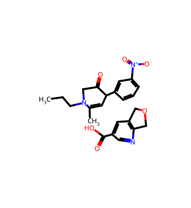 CCCN1CC(=O)C(c2cccc([N+](=O)[O-])c2)C=C1C.O=C(O)c1cnc2c(c1)COC2